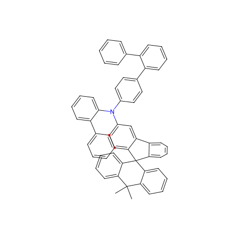 CC1(C)c2ccccc2C2(c3ccccc3-c3cc(N(c4ccc(-c5ccccc5-c5ccccc5)cc4)c4ccccc4-c4ccccc4)ccc32)c2ccccc21